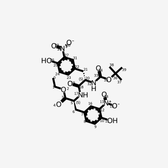 CCOC(=O)[C@H](Cc1ccc(O)c([N+](=O)[O-])c1)NC(=O)[C@H](Cc1ccc(O)c([N+](=O)[O-])c1)NC(=O)OC(C)(C)C